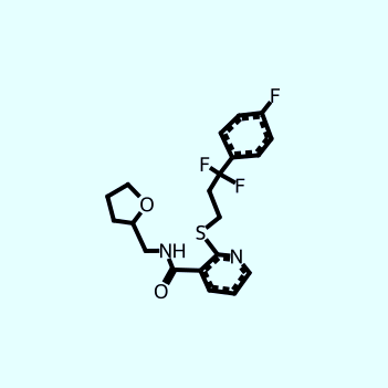 O=C(NCC1CCCO1)c1cccnc1SCCC(F)(F)c1ccc(F)cc1